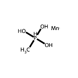 C[PH](O)(O)O.[Mn]